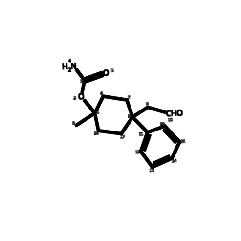 CC1(OC(N)=O)CCC(CC=O)(c2ccccc2)CC1